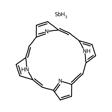 C1=Cc2cc3ccc(cc4nc(cc5ccc(cc1n2)[nH]5)C=C4)[nH]3.[SbH3]